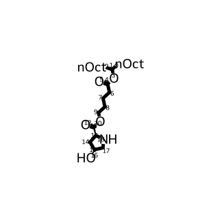 CCCCCCCCC(CCCCCCCC)OC(=O)CCCCOC(=O)[C@@H]1C[C@@H](O)CN1